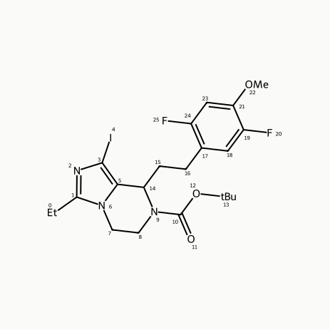 CCc1nc(I)c2n1CCN(C(=O)OC(C)(C)C)C2CCc1cc(F)c(OC)cc1F